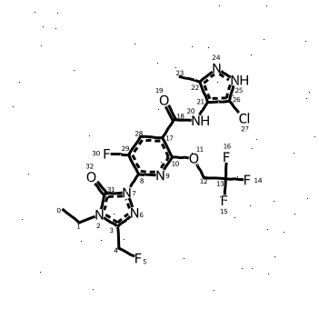 CCn1c(CF)nn(-c2nc(OCC(F)(F)F)c(C(=O)Nc3c(C)n[nH]c3Cl)cc2F)c1=O